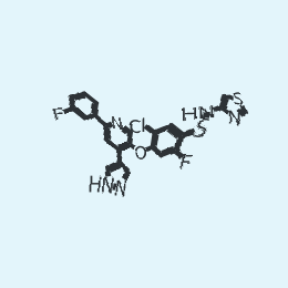 Fc1cccc(-c2cc(-c3cn[nH]c3)c(Oc3cc(F)c(SNc4cscn4)cc3Cl)cn2)c1